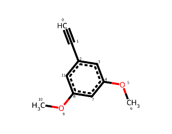 C#Cc1cc(OC)cc(OC)c1